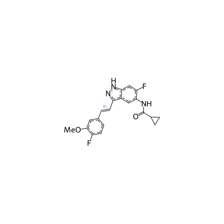 COc1cc(/C=C/c2n[nH]c3cc(F)c(NC(=O)C4CC4)cc23)ccc1F